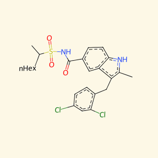 CCCCCCC(C)S(=O)(=O)NC(=O)c1ccc2[nH]c(C)c(Cc3ccc(Cl)cc3Cl)c2c1